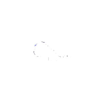 CC/C=C\C/C=C\C/C=C\CCCCCCC(OC)C(=O)O